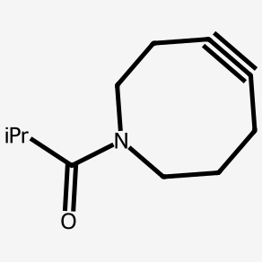 CC(C)C(=O)N1CCC#CCCC1